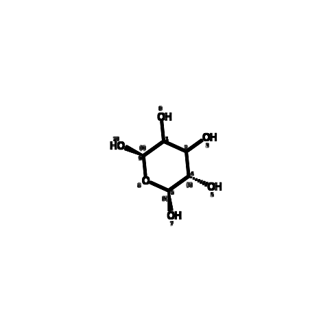 OC1C(O)[C@H](O)[C@@H](O)O[C@H]1O